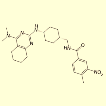 Cc1ccc(C(=O)NC[C@H]2CC[C@@H](Nc3nc4c(c(N(C)C)n3)CCCC4)CC2)cc1[N+](=O)[O-]